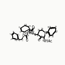 CC(=O)NC1C(=O)C(NC(=O)C2(NC(=O)OCc3ccccc3)CCCCC2)CCN1c1ccccc1